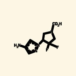 Nc1cnn(C2CN(C(=O)O)CC2(F)F)c1